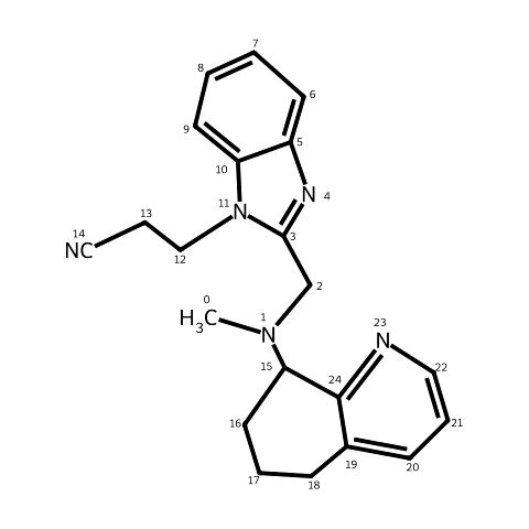 CN(Cc1nc2ccccc2n1CCC#N)C1CCCc2cccnc21